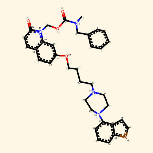 CN(Cc1ccccc1)C(=O)OCn1c(=O)ccc2ccc(OCCCCN3CCN(c4cccc5sccc45)CC3)cc21